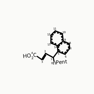 CCCCCC(C=CC(=O)O)c1cccc2ccccc12